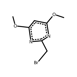 COc1cc(OC)nc(CBr)n1